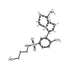 Cc1ccc(S(=O)(=O)NCCCO)cc1-c1cnc2c(N)nccn12